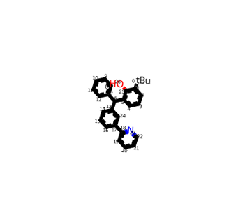 CC(C)(C)c1cccc(C(c2ccccc2)c2cccc(-c3ccccn3)c2)c1O